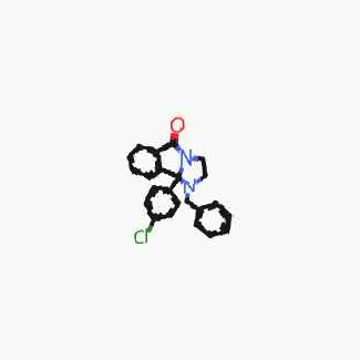 O=C1c2ccccc2C2(c3ccc(Cl)cc3)N(Cc3ccccc3)CCN12